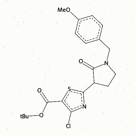 COc1ccc(CN2CCC(c3nc(Cl)c(C(=O)OC(C)(C)C)s3)C2=O)cc1